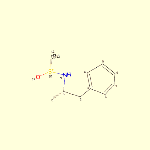 C[C@@H](Cc1ccccc1)N[S@+]([O-])C(C)(C)C